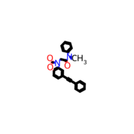 CN(C(=O)Cn1c(=O)oc2ccc(C#Cc3ccccc3)cc21)c1ccccc1